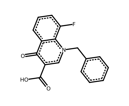 O=C(O)c1cn(Cc2ccccc2)c2c(F)cccc2c1=O